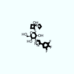 OC[C@H]1O[C@@H](S[C]2CC[C@@]2(O)N2CCC2)[C@H](O)[C@@H](n2cc(-c3cc(F)c(F)c(F)c3)nn2)[C@H]1O